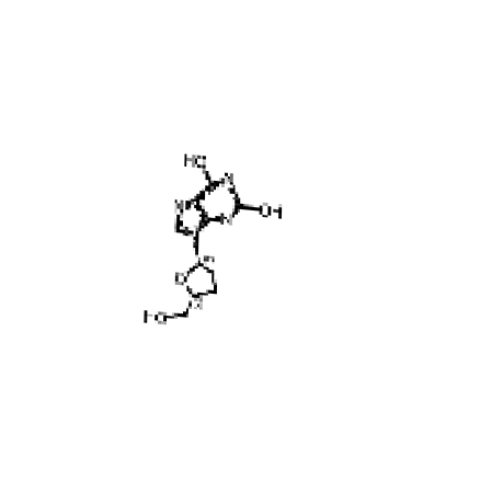 OC[C@@H]1CC[C@H](n2cnc3c(O)nc(O)nc32)O1